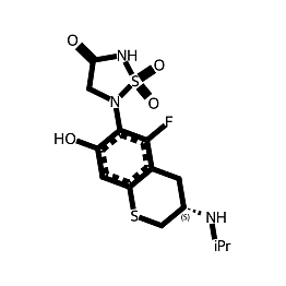 CC(C)N[C@@H]1CSc2cc(O)c(N3CC(=O)NS3(=O)=O)c(F)c2C1